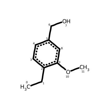 CCc1ccc(CO)cc1OC